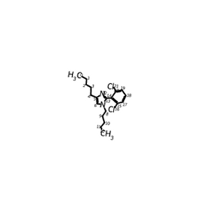 CCCCCc1cn(CCCCC)c(-c2c(Cl)cccc2Cl)n1